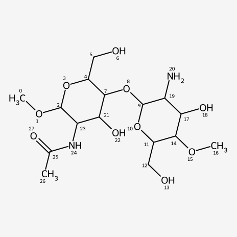 COC1OC(CO)C(OC2OC(CO)C(OC)C(O)C2N)C(O)C1NC(C)=O